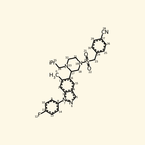 Cc1cc2c(cnn2-c2ccc(F)cc2)cc1C1CN(S(=O)(=O)Cc2ccc(C#N)cc2)CCN1CC(C)C